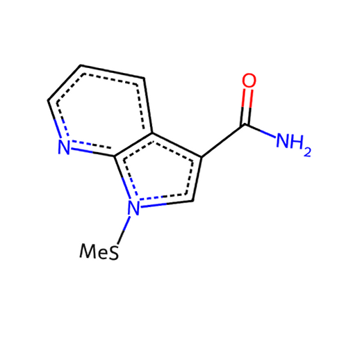 CSn1cc(C(N)=O)c2cccnc21